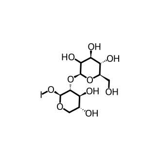 OC[C@H]1O[C@@H](O[C@H]2[C@H](OI)OC[C@@H](O)[C@@H]2O)C(O)[C@@H](O)[C@@H]1O